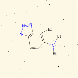 CCc1c(N(CC)CC)ccc2[nH]nnc12